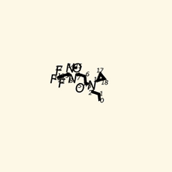 CCCN(C(=O)Cc1nc(C(F)(F)F)no1)C1CC1